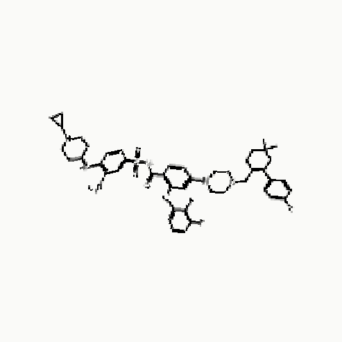 CC1(C)CCC(CN2CCN(c3ccc(C(=O)NS(=O)(=O)c4ccc(NC5CCN(C6CC6)CC5)c([N+](=O)[O-])c4)c(Oc4cccc(F)c4F)c3)CC2)=C(c2ccc(Cl)cc2)C1